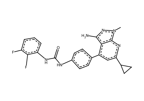 Cn1nc(N)c2c(-c3ccc(NC(=O)Nc4cccc(F)c4F)cc3)cc(C3CC3)nc21